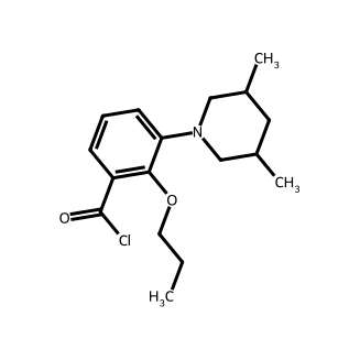 CCCOc1c(C(=O)Cl)cccc1N1CC(C)CC(C)C1